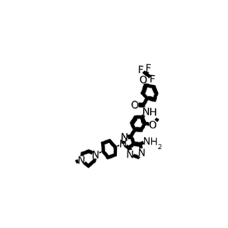 COc1cc(-c2nn([C@H]3CC[C@@H](N4CCN(C)CC4)CC3)c3ncnc(N)c23)ccc1NC(=O)c1cccc(OC(F)(F)F)c1